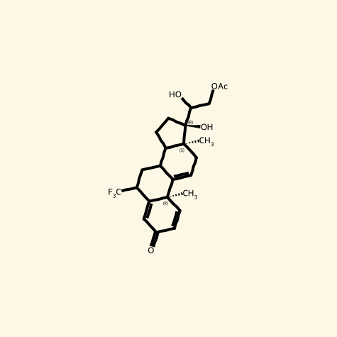 CC(=O)OCC(O)[C@@]1(O)CCC2C3CC(C(F)(F)F)C4=CC(=O)C=C[C@]4(C)C3=CC[C@@]21C